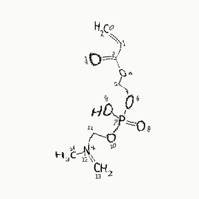 C=CC(=O)OCOP(=O)(O)OC[N+](=C)C